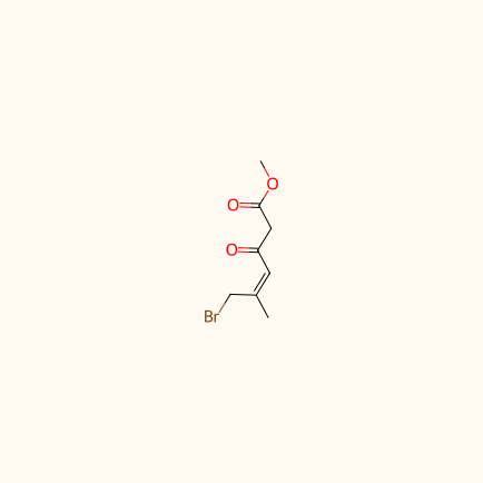 COC(=O)CC(=O)C=C(C)CBr